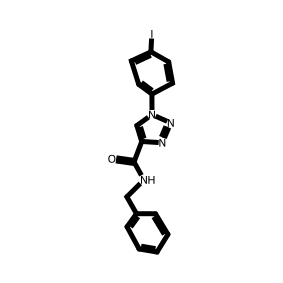 O=C(NCc1ccccc1)c1cn(-c2ccc(I)cc2)nn1